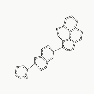 c1ccc(-c2ccc3cc(-c4ccc5ccc6cccc7ccc4c5c67)ccc3c2)nc1